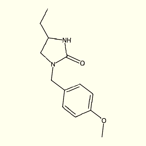 CCC1CN(Cc2ccc(OC)cc2)C(=O)N1